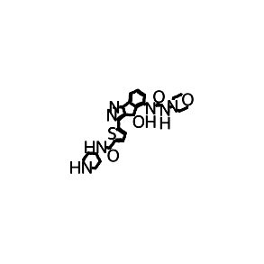 O=C(Nc1cccc2c1C(=O)C1=C(c3ccc(C(=O)NC4CCNCC4)s3)N=NC12)NN1CCOCC1